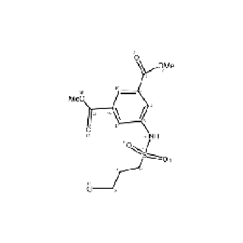 COC(=O)c1cc(NS(=O)(=O)CCCCl)cc(C(=O)OC)c1